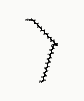 CCCCCCC=CCCCCCCCCCCCC(=O)OCCCCCCCCCCCCCCCC(C)C